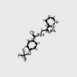 O=C(NCc1nnn2ncccc12)c1ccc(OC(F)(F)F)cc1